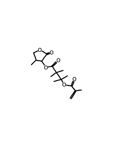 C=C(C)C(=O)OC(C)(C)C(C)(C)C(=O)OC1C(=O)OCC1C